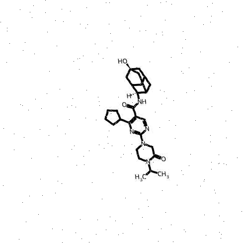 CC(C)N1CCN(c2ncc(C(=O)N[C@H]3C4CC5CC3C[C@@](O)(C5)C4)c(C3CCCC3)n2)CC1=O